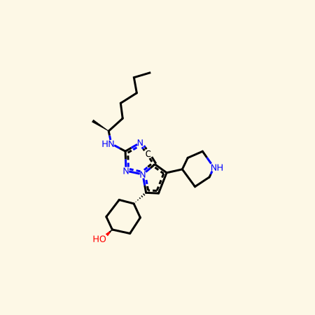 CCCCC[C@H](C)Nc1ncc2c(C3CCNCC3)cc([C@H]3CC[C@H](O)CC3)n2n1